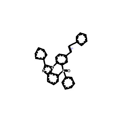 O=P1(c2ccccc2)c2cc(/C=C/c3ccccc3)ccc2-n2c(-c3ccccc3)nc3cccc1c32